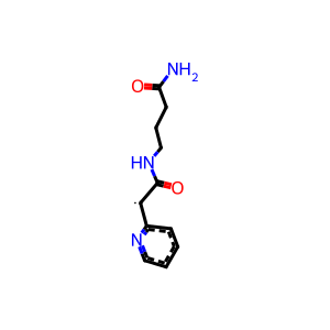 NC(=O)CCCNC(=O)[CH]c1ccccn1